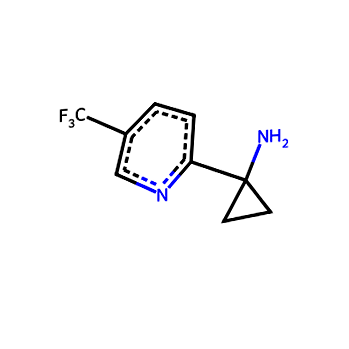 NC1(c2ccc(C(F)(F)F)cn2)CC1